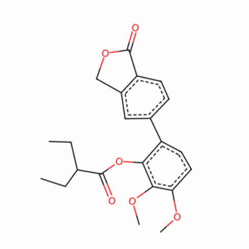 CCC(CC)C(=O)Oc1c(-c2ccc3c(c2)COC3=O)ccc(OC)c1OC